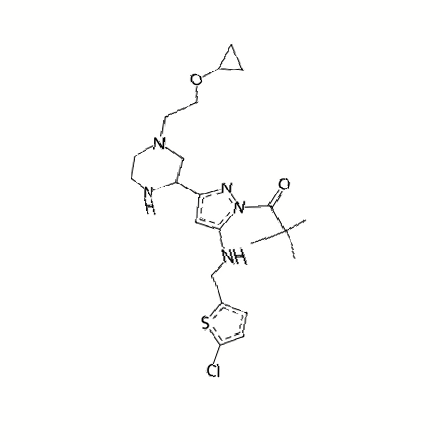 CC(C)(C)C(=O)n1nc(C2CN(CCOC3CC3)CCN2)cc1NCc1ccc(Cl)s1